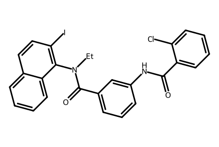 CCN(C(=O)c1cccc(NC(=O)c2ccccc2Cl)c1)c1c(I)ccc2ccccc12